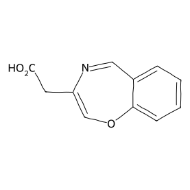 O=C(O)CC1=COc2ccccc2C=N1